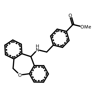 COC(=O)c1ccc(CNC2c3ccccc3COc3ccccc32)cc1